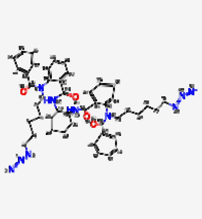 [N-]=[N+]=NCCCCCCN(C(=O)c1ccccc1)c1ccccc1C(=O)NC1CCCC[C@@H]1NC(=O)c1ccccc1N(CCCCCCN=[N+]=[N-])C(=O)c1ccccc1